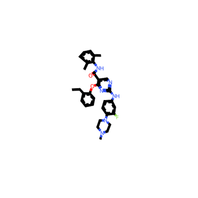 CCc1ccccc1Oc1nc(Nc2ccc(N3CCN(C)CC3)c(F)c2)ncc1C(=O)Nc1c(C)cccc1C